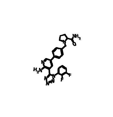 NC(=O)C1CCCN1Cc1ccc(-c2cnc(N)c(-c3nnnn3-c3cccc(F)c3F)c2)cc1